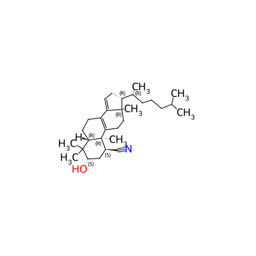 CC(C)CCC[C@@H](C)[C@H]1CC=C2C3=C(CC[C@@]21C)[C@@]1(C)[C@@H](C#N)C[C@H](O)C(C)(C)[C@@H]1CC3